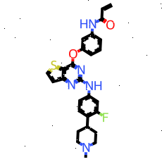 C=CC(=O)Nc1cccc(Oc2nc(Nc3ccc(C4CCN(C)CC4)c(F)c3)nc3ccsc23)c1